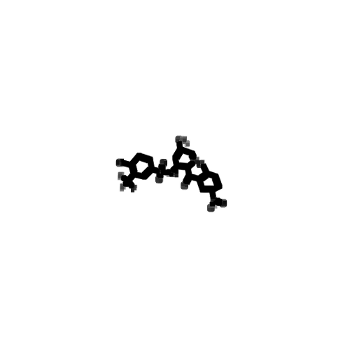 Cc1cnc(C(=O)c2cc([N+](=O)[O-])ccc2Cl)c(NS(=O)(=O)c2ccc(Cl)c(C(F)(F)F)c2)c1